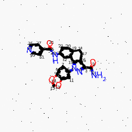 NC(=O)c1nn(-c2ccc3c(c2)OCO3)c2c1CCc1ccc(NC(=O)c3ccncc3)cc1-2